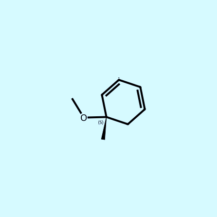 CO[C@]1(C)C=[C]C=CC1